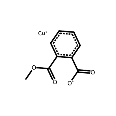 COC(=O)c1ccccc1C(=O)[O-].[Cu+]